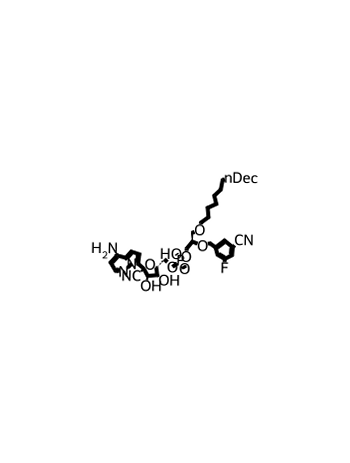 CCCCCCCCCCCCCCCCCOC[C@H](COP(=O)(O)OC[C@H]1O[C@@](C#N)(c2ccc3c(N)ccnn23)[C@H](O)[C@@H]1O)OCc1cc(F)cc(C#N)c1